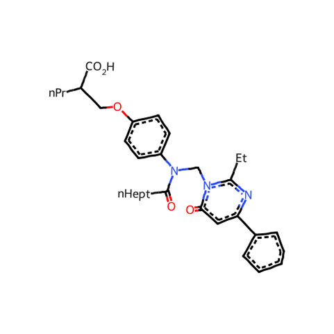 CCCCCCCC(=O)N(Cn1c(CC)nc(-c2ccccc2)cc1=O)c1ccc(OCC(CCC)C(=O)O)cc1